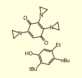 CCCCc1cc(C(C)(C)C)c(O)cc1CC.O=C1C=C(N2CC2)C(=O)C(N2CC2)=C1N1CC1